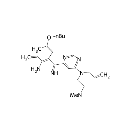 C=CCN(CCNC)c1cc(C(=N)C(/C=C(\C)OCCCC)=C(\N)C=C)ncn1